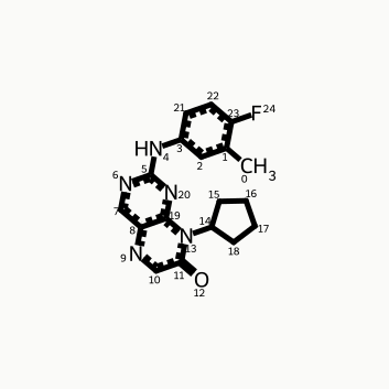 Cc1cc(Nc2ncc3ncc(=O)n(C4CCCC4)c3n2)ccc1F